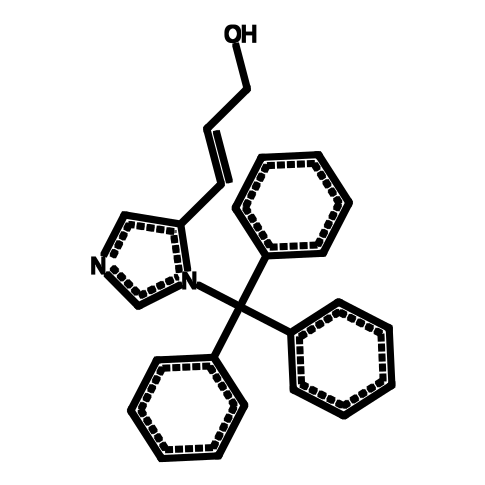 OCC=Cc1cncn1C(c1ccccc1)(c1ccccc1)c1ccccc1